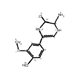 COc1cc(C2=CNC(N)C(Cl)N2)ccc1O